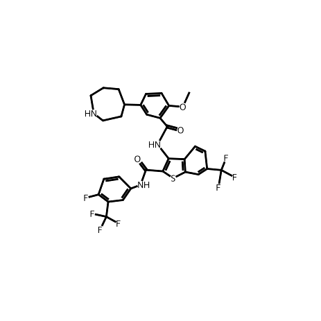 COc1ccc(C2CCCNCC2)cc1C(=O)Nc1c(C(=O)Nc2ccc(F)c(C(F)(F)F)c2)sc2cc(C(F)(F)F)ccc12